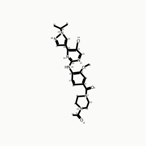 COc1cc(C(=O)N2CCN(C(C)=O)CC2)ccc1Nc1ncc(Cl)c(-c2cnn(C(C)C)c2)n1